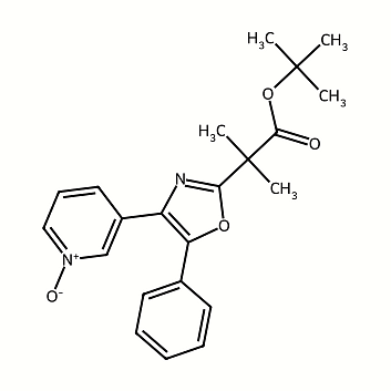 CC(C)(C)OC(=O)C(C)(C)c1nc(-c2ccc[n+]([O-])c2)c(-c2ccccc2)o1